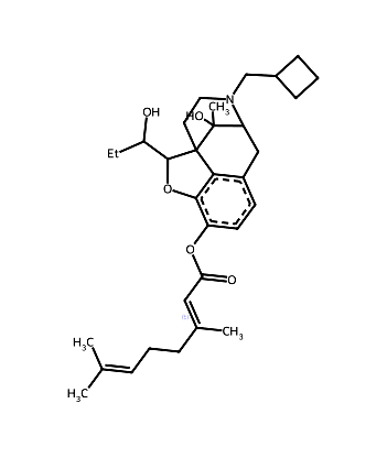 CCC(O)C1Oc2c(OC(=O)/C=C(\C)CCC=C(C)C)ccc3c2C12CCN(CC1CCC1)C(C3)C2(C)O